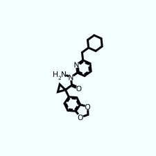 NN(C(=O)C1(c2ccc3c(c2)OCO3)CC1)c1cccc(CC2CCCCC2)n1